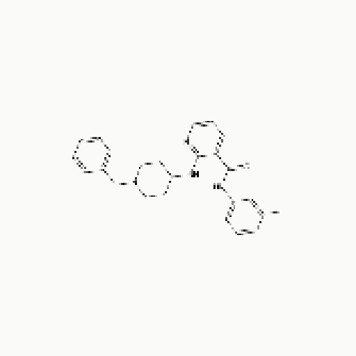 Cc1cccc(NC(=O)c2cccnc2NC2CCN(Cc3ccccc3)CC2)c1